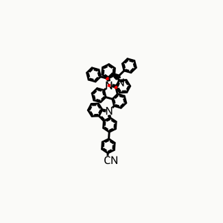 N#Cc1ccc(-c2ccc3c(c2)c2ccccc2n3-c2cccc(-c3nc(-c4ccccc4)cc(-c4ccccc4)n3)c2-c2ccccc2-n2c3ccccc3c3ccccc32)cc1